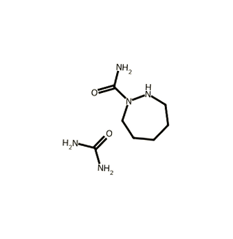 NC(=O)N1CCCCCN1.NC(N)=O